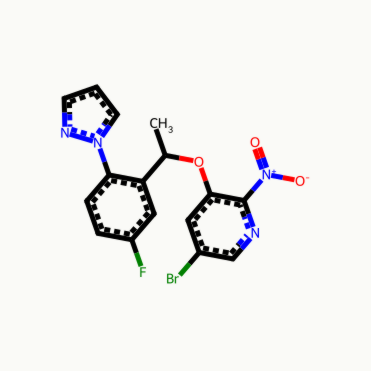 CC(Oc1cc(Br)cnc1[N+](=O)[O-])c1cc(F)ccc1-n1cccn1